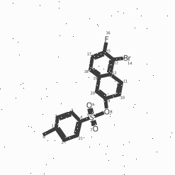 Cc1ccc(S(=O)(=O)Oc2ccc3c(Br)c(F)ccc3c2)cc1